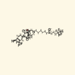 C[C@]12CN(CCCCCC[S+]([O-])CCCC(F)(F)C(F)(F)F)C[C@](C)(O1)[C@H]1C(=O)N(c3ccc(C#N)c(C(F)(F)F)c3)C(=O)[C@H]12